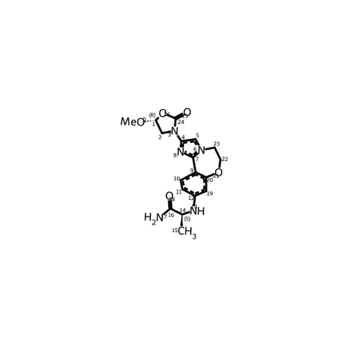 CO[C@H]1CN(c2cn3c(n2)-c2ccc(N[C@@H](C)C(N)=O)cc2OCC3)C(=O)O1